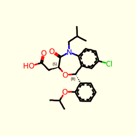 CC(C)CN1C(=O)[C@H](CC(=O)O)O[C@@H](c2ccccc2OC(C)C)c2cc(Cl)ccc21